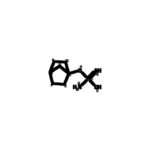 N=P(N)(O)OC12CCC(CC1)C2